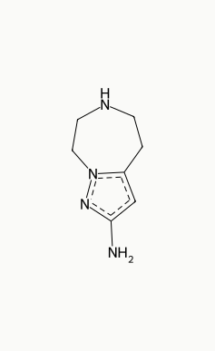 Nc1cc2n(n1)CCNCC2